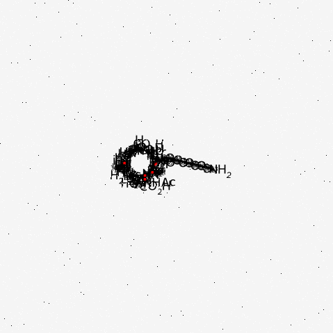 CC(=O)N[C@@H](CC(=O)O)C(=O)N[C@@H]1C(=O)N[C@@H](C)C(=O)N[C@@H](Cc2c[nH]c3ccccc23)C(O)N[C@@H](CC(=O)NCc2ccc(OC(=O)CCOCCOCCOCCOCCOCCOCCN)cc2)C(=O)N[C@@H](CC(C)C)C(=O)NCC(=O)N[C@@H](CCC(=O)O)C(=O)N[C@@H](CC(C)C)C(=O)N[C@@H](C(C)C)C(=O)N[C@@H](Cc2c[nH]c3ccccc23)C(=O)N[C@H](C(N)=O)CSSC1OC(=O)C[C@@H](C)O